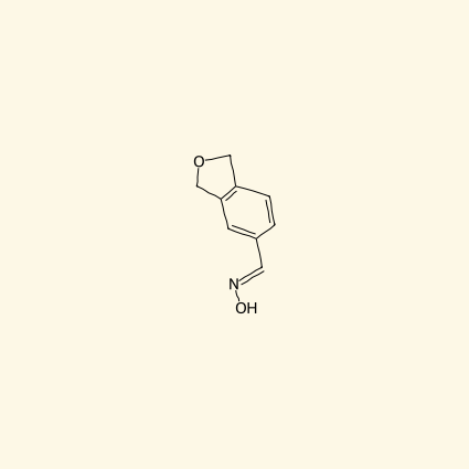 ON=Cc1ccc2c(c1)COC2